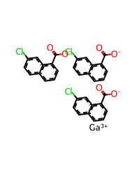 O=C([O-])c1cccc2ccc(Cl)cc12.O=C([O-])c1cccc2ccc(Cl)cc12.O=C([O-])c1cccc2ccc(Cl)cc12.[Ga+3]